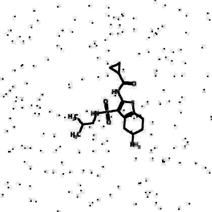 CC(C)CNS(=O)(=O)c1c(NC(=O)C2CC2)sc2c1CC(N)CC2